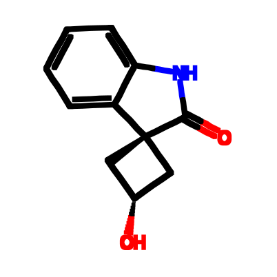 O=C1Nc2ccccc2[C@]12C[C@@H](O)C2